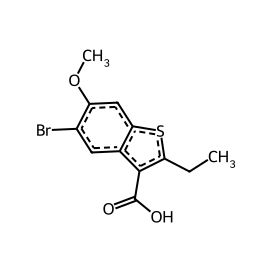 CCc1sc2cc(OC)c(Br)cc2c1C(=O)O